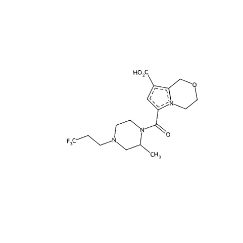 CC1CN(CCC(F)(F)F)CCN1C(=O)c1cc(C(=O)O)c2n1CCOC2